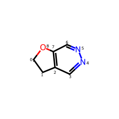 [CH]1Cc2cnncc2O1